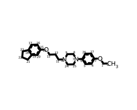 CCOc1ccc(N2CCN(CCCOc3ccc4c(c3)CCC4)CC2)cc1